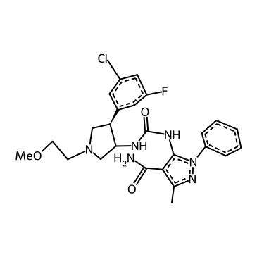 COCCN1CC(NC(=O)Nc2c(C(N)=O)c(C)nn2-c2ccccc2)[C@H](c2cc(F)cc(Cl)c2)C1